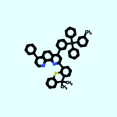 Cc1cccc([Si](c2ccccc2)(c2ccccc2)c2cccc(-c3cc(-c4cccc5c4Sc4ccccc4C5(C)C)nc4c3ccc3c(-c5ccccc5)ccnc34)c2)c1